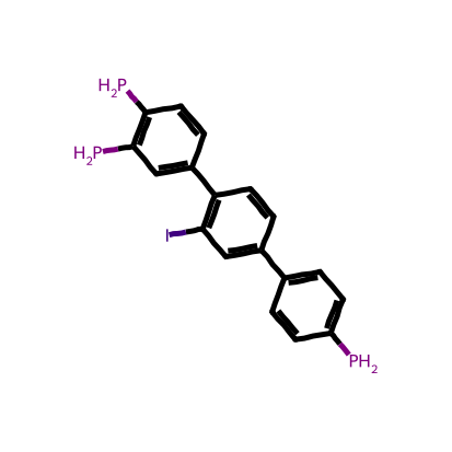 Pc1ccc(-c2ccc(-c3ccc(P)c(P)c3)c(I)c2)cc1